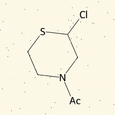 CC(=O)N1CCSC(Cl)C1